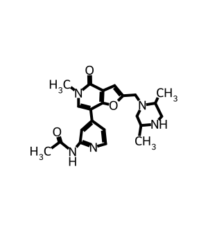 CC(=O)Nc1cc(-c2cn(C)c(=O)c3cc(CN4CC(C)NCC4C)oc23)ccn1